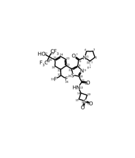 C[C@H]1CCCN1C(=O)c1nc(C(=O)NC2CS(=O)(=O)C2)sc1C1=CC=C(C(O)(C(F)(F)F)C(F)(F)F)CC1C(F)F